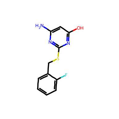 Nc1cc(O)nc(SCc2ccccc2F)n1